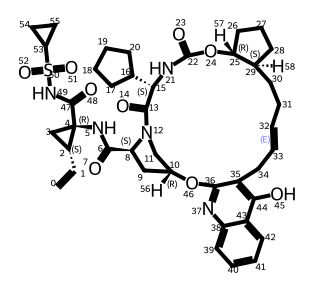 C=C[C@@H]1C[C@]1(NC(=O)[C@@H]1C[C@@H]2CN1C(=O)[C@H](C1CCCC1)NC(=O)O[C@@H]1CCC[C@H]1CC/C=C/Cc1c(nc3ccccc3c1O)O2)C(=O)NS(=O)(=O)C1CC1